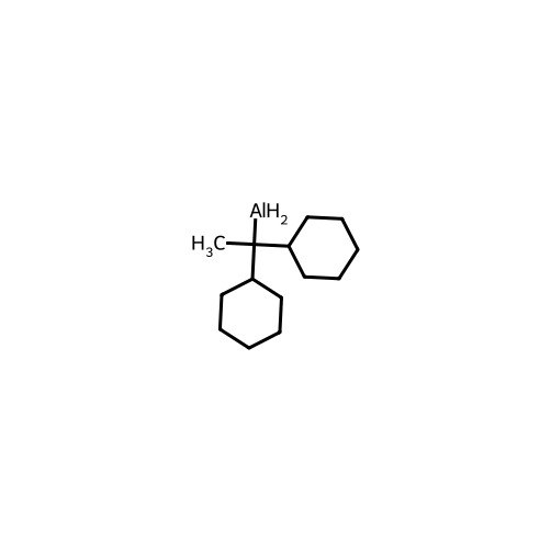 C[C]([AlH2])(C1CCCCC1)C1CCCCC1